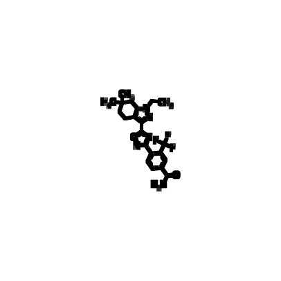 CCn1nc(-c2nc(-c3ccc(C(N)=O)cc3C(F)(F)F)no2)c2c1CC(C)(C)CC2